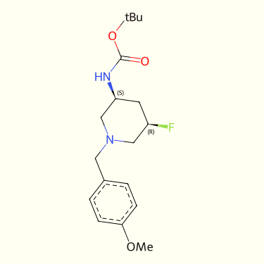 COc1ccc(CN2C[C@H](F)C[C@H](NC(=O)OC(C)(C)C)C2)cc1